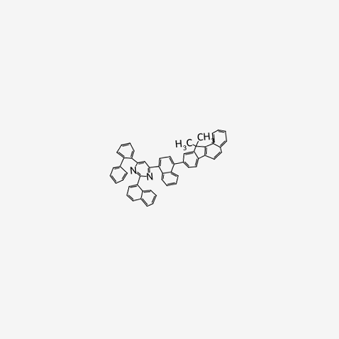 CC1(C)c2cc(-c3ccc(-c4cc(-c5ccccc5-c5ccccc5)nc(-c5cccc6ccccc56)n4)c4ccccc34)ccc2-c2ccc3ccccc3c21